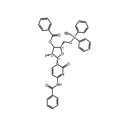 CC(C)(C)[Si](OC[C@H]1O[C@@H](n2ccc(NC(=O)c3ccccc3)nc2=O)[C@@H](F)C1OC(=O)c1ccccc1)(c1ccccc1)c1ccccc1